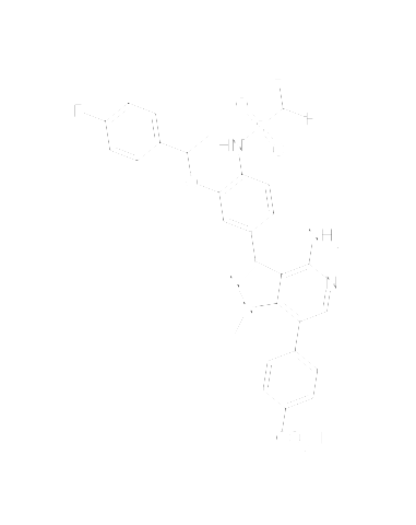 CC(Oc1cc(-c2nn(C)c3c(-c4ccc(C(=O)O)cc4)cnc(N)c23)ccc1NS(=O)(=O)C(F)F)c1ccc(F)cc1